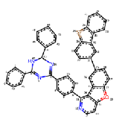 c1ccc(C2=NC(c3ccc(-c4nccc5oc6ccc(-c7ccc8sc9ccccc9c8c7)cc6c45)cc3)=NC(c3ccccc3)N2)cc1